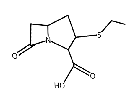 CCSC1CC2CC(=O)N2C1C(=O)O